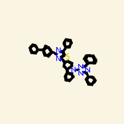 c1ccc(-c2ccc(-c3nc(-c4ccccc4)c4sc5cc6c(cc5c4n3)c3ccccc3n6-c3nc(-c4ccccc4)nc(-c4ccccc4)n3)cc2)cc1